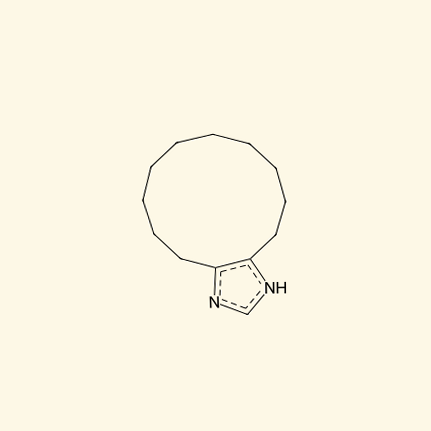 c1nc2c([nH]1)CCCCCCCCCC2